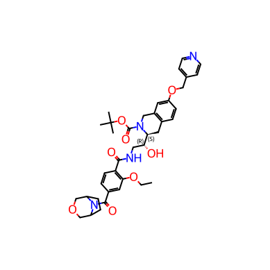 CCOc1cc(C(=O)N2C3CCC2COC3)ccc1C(=O)NC[C@@H](O)[C@@H]1Cc2ccc(OCc3ccncc3)cc2CN1C(=O)OC(C)(C)C